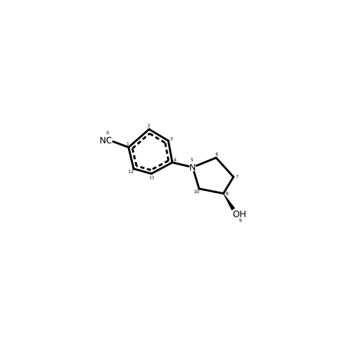 N#Cc1ccc(N2CC[C@@H](O)C2)cc1